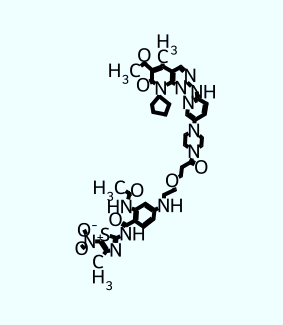 CC(=O)Nc1cc(NCCOCCC(=O)N2CCN(c3ccc(Nc4ncc5c(C)c(C(C)=O)c(=O)n(C6CCCC6)c5n4)nc3)CC2)ccc1C(=O)Nc1nc(C)c([N+](=O)[O-])s1